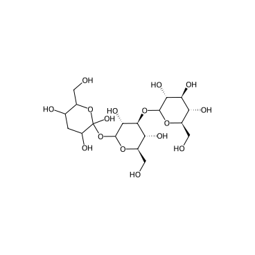 OCC1OC(O)(OC2O[C@H](CO)[C@@H](O)[C@H](OC3O[C@H](CO)[C@@H](O)[C@H](O)[C@H]3O)[C@H]2O)C(O)CC1O